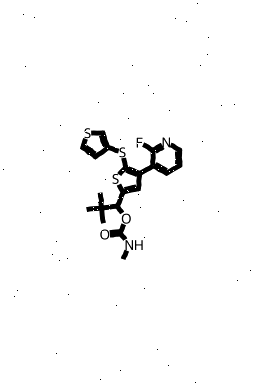 CNC(=O)OC(c1cc(-c2cccnc2F)c(Sc2ccsc2)s1)C(C)(C)C